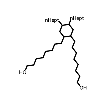 CCCCCCCC1CC(CCCCCCCCO)C(CCCCCCCCO)CC1CCCCCCC